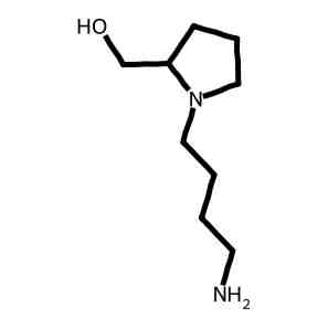 NCCCCN1CCCC1CO